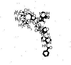 CC(C)[Si]1(C(C)C)OC[C@H]2O[C@@H](n3cc(F)c4c(=O)[nH]cnc43)[C@H](OP(=O)(OCCC#N)OC[C@@]34CO[C@@H]([C@H](n5cnc6c(NC(=O)c7ccccc7)ncnc65)O3)[C@@H]4O[PH](=O)O)[C@@H]2O[Si](C(C)C)(C(C)C)O1